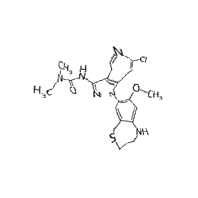 COc1cc2c(cc1-n1nc(NC(=O)N(C)C)c3cnc(Cl)cc31)SCCN2